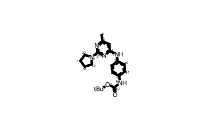 Cc1cc(Nc2ccc(NC(=O)OC(C)(C)C)cc2)nc(N2CCCC2)n1